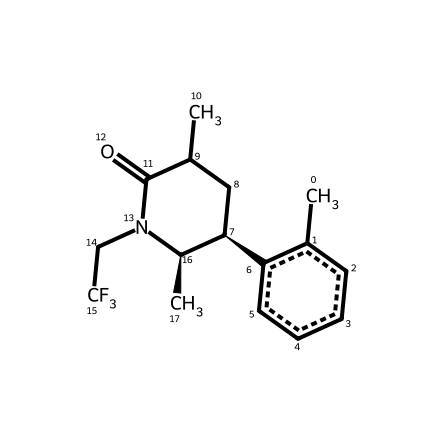 Cc1ccccc1[C@@H]1CC(C)C(=O)N(CC(F)(F)F)[C@@H]1C